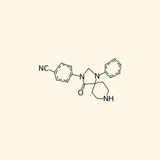 N#Cc1ccc(N2CN(c3ccccc3)C3(CCNCC3)C2=O)cc1